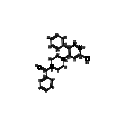 O=C(c1ccccc1)N1CCN(c2cc(Cl)nnc2-c2ccccc2)CC1